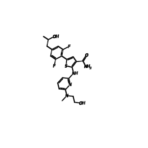 CC(O)Cc1cc(F)c(-c2cc(C(N)=O)c(Nc3cccc(N(C)CCO)n3)s2)c(F)c1